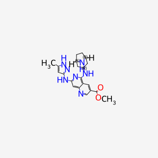 COC(=O)c1cnc2cc(Nc3cc(C)[nH]n3)nc(N[C@H]3C[C@H]4CC[C@@H](C3)N4)c2c1